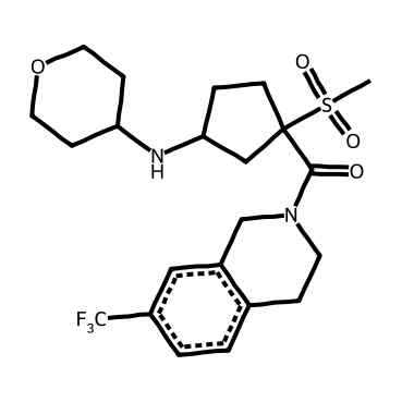 CS(=O)(=O)C1(C(=O)N2CCc3ccc(C(F)(F)F)cc3C2)CCC(NC2CCOCC2)C1